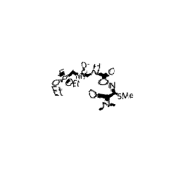 CCOP(=S)(CN[S+]([O-])CNC(=O)ON=C(SC)C(=O)N(C)C)OCC